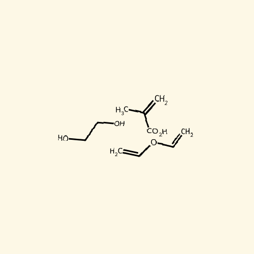 C=C(C)C(=O)O.C=COC=C.OCCO